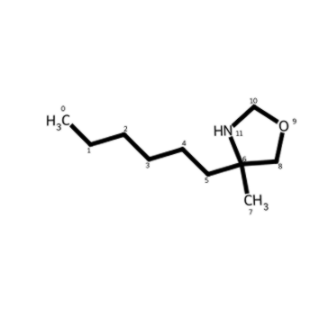 CCCCCCC1(C)COCN1